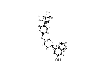 Oc1cc(N2CCN(Cc3ccc(C(F)(F)C(F)(F)F)cc3)CC2)c2ncsc2c1